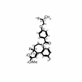 COC(=O)/C=C1/c2cc(F)ccc2N(C(=O)c2ccc(OC[C@@H](C)F)cc2)CCC1(F)F